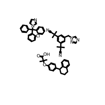 CC(C)(C#N)c1cc(Cn2cncn2)cc(C(C)(C)C#N)c1.CC(C)(Oc1ccc(C2CCCc3ccccc32)cc1)C(=O)O.Clc1ccccc1C(c1ccccc1)(c1ccccc1)n1ccnc1